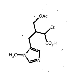 CCC(C(=O)O)C(COC(C)=O)Cc1cncn1C